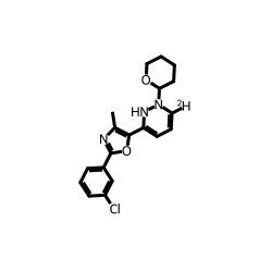 [2H]C1=CC=C(c2oc(-c3cccc(Cl)c3)nc2C)NN1C1CCCCO1